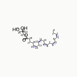 CC/C=C\C/C=C\C/C=C\C/C=C\C/C=C\CCCC(=O)OC[C@](C)(O)CO